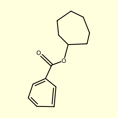 O=C(OC1CCCCCC1)c1ccccc1